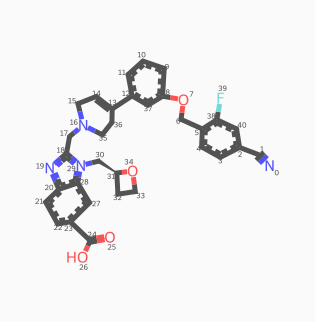 N#Cc1ccc(COc2cccc(C3=CCN(Cc4nc5ccc(C(=O)O)cc5n4C[C@@H]4CCO4)CC3)c2)c(F)c1